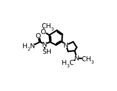 COc1ccc(N2CCC(N(C)C)C2)cc1N(S)C(N)=O